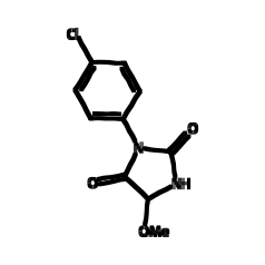 COC1NC(=O)N(c2ccc(Cl)cc2)C1=O